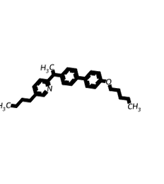 CCCCCOc1ccc(-c2ccc(C(C)c3ccc(CCCC)cn3)cc2)cc1